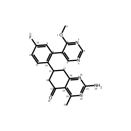 COc1ncncc1-c1cc(F)ccc1C1CC(=O)c2c(C)nc(N)nc2C1